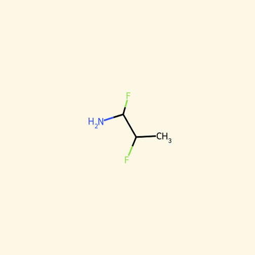 CC(F)C(N)F